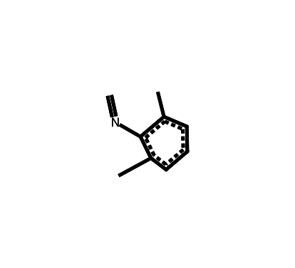 C=Nc1c(C)cccc1C